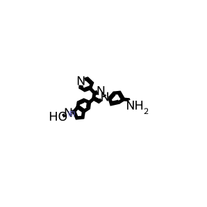 NCc1ccc(-n2cc(-c3ccc4c(c3)CC/C4=N\O)c(-c3ccncc3)n2)cc1